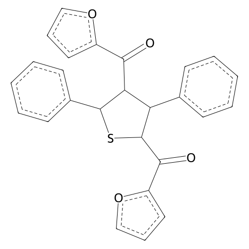 O=C(c1ccco1)C1SC(c2ccccc2)C(C(=O)c2ccco2)C1c1ccccc1